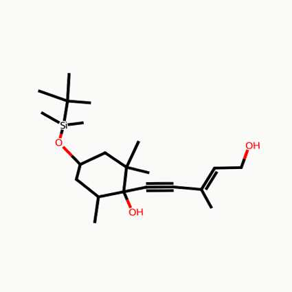 CC(C#CC1(O)C(C)CC(O[Si](C)(C)C(C)(C)C)CC1(C)C)=CCO